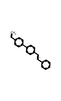 C=Cc1ccc(-c2ccc(/C=C/c3ccccc3)cc2)cc1